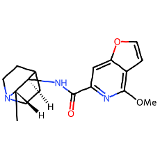 COc1nc(C(=O)N[C@@H]2C3CCN(CC3)[C@H]2C)cc2occc12